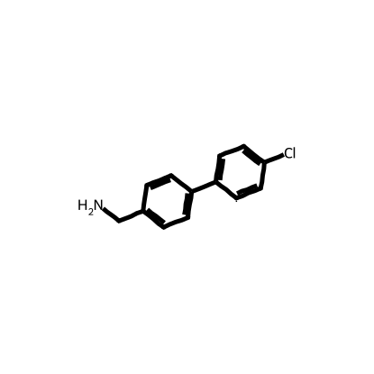 NCc1ccc(-c2[c]cc(Cl)cc2)cc1